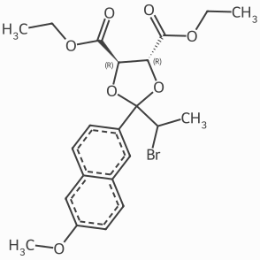 CCOC(=O)[C@@H]1OC(c2ccc3cc(OC)ccc3c2)(C(C)Br)O[C@H]1C(=O)OCC